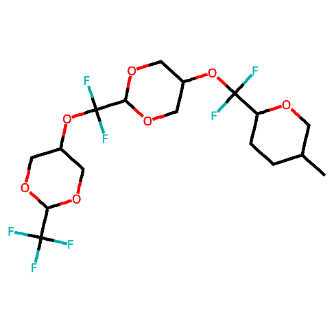 CC1CCC(C(F)(F)OC2COC(C(F)(F)OC3COC(C(F)(F)F)OC3)OC2)OC1